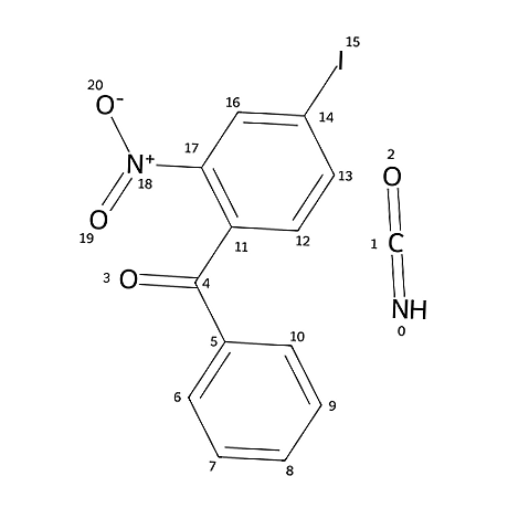 N=C=O.O=C(c1ccccc1)c1ccc(I)cc1[N+](=O)[O-]